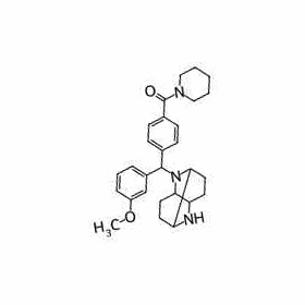 COc1cccc(C(c2ccc(C(=O)N3CCCCC3)cc2)N2C3CCC4NC3CCC42)c1